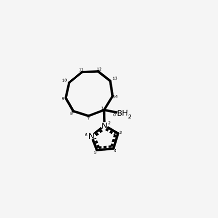 BC1(n2cccn2)CCCCCCCC1